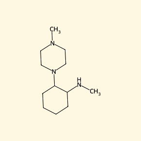 CNC1CCCCC1N1CCN(C)CC1